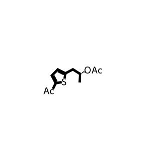 CC(=O)O[C@H](C)Cc1ccc(C(C)=O)s1